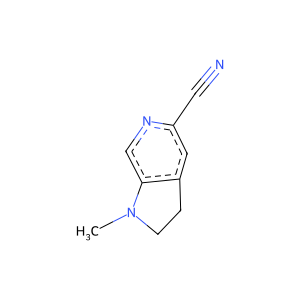 CN1CCc2cc(C#N)ncc21